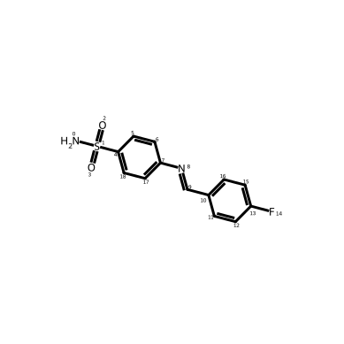 NS(=O)(=O)c1ccc(/N=C/c2ccc(F)cc2)cc1